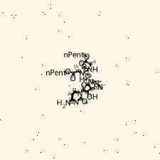 CCCCCOC(=O)[C@H](C)NP(=O)(N[C@@H](C)C(=O)OCCCCC)OC[C@@]1(N=[N+]=[N-])O[C@@H](n2ccc(N)nc2=O)[C@H](O)[C@@H]1F